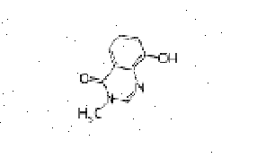 Cn1cnc2c(O)cccc2c1=O